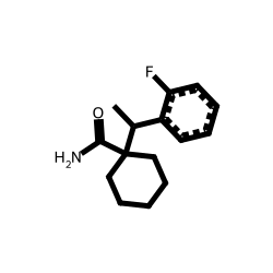 CC(c1ccccc1F)C1(C(N)=O)CCCCC1